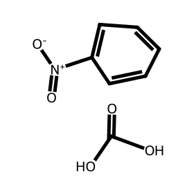 O=C(O)O.O=[N+]([O-])c1ccccc1